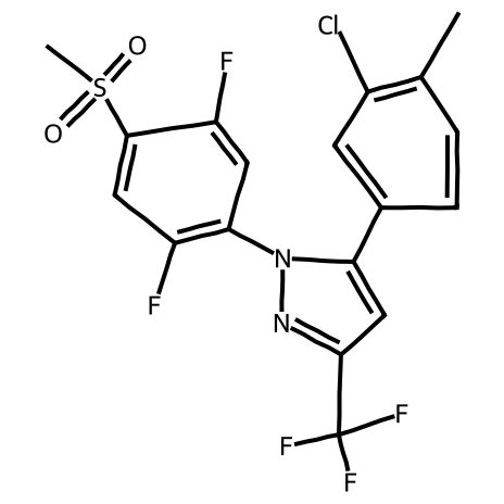 Cc1ccc(-c2cc(C(F)(F)F)nn2-c2cc(F)c(S(C)(=O)=O)cc2F)cc1Cl